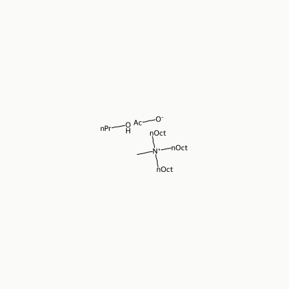 CC(=O)[O-].CCCCCCCC[N+](C)(CCCCCCCC)CCCCCCCC.CCCO